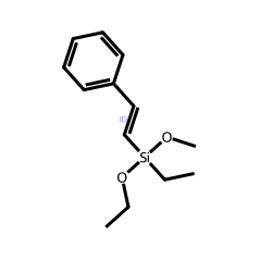 CCO[Si](/C=C/c1ccccc1)(CC)OC